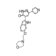 O=c1[nH]nc(-c2ccncc2)cc1-c1cc2ccc(OCCN3CCOCC3)cc2[nH]1